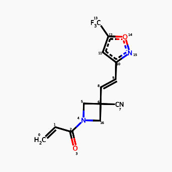 C=CC(=O)N1CC(C#N)(C=Cc2cc(C(F)(F)F)on2)C1